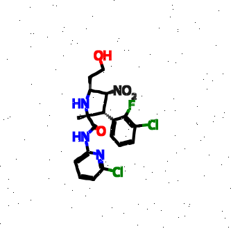 C[C@@]1(C(=O)Nc2cccc(Cl)n2)N[C@@H](CCO)[C@@H]([N+](=O)[O-])[C@@H]1c1cccc(Cl)c1F